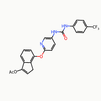 CC(=O)OC1=CCc2c(Oc3ccc(NC(=O)Nc4ccc(C(F)(F)F)cc4)cn3)cccc21